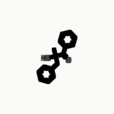 CC(O)(Cc1ccccc1)C(=O)c1ccccc1